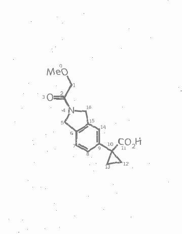 COCC(=O)N1Cc2ccc(C3(C(=O)O)CC3)cc2C1